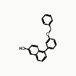 Oc1ccc2c(-c3cccc(OCc4ccccc4)c3)cccc2c1